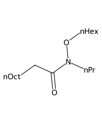 CCCCCCCCCC(=O)N(CCC)OCCCCCC